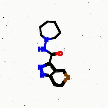 O=C(NN1CCCCCC1)c1nnc2ccscc1-2